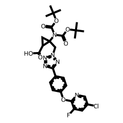 CC(C)(C)OC(=O)N(C(=O)OC(C)(C)C)C1(Cn2nnc(-c3ccc(Oc4ncc(Cl)cc4F)cc3)n2)CC1C(=O)O